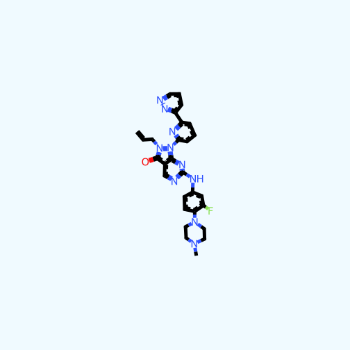 C=CCn1c(=O)c2cnc(Nc3ccc(N4CCN(C)CC4)c(F)c3)nc2n1-c1cccc(-c2cccnn2)n1